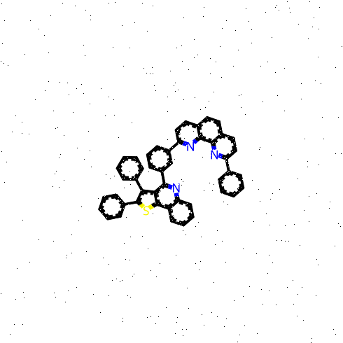 c1ccc(-c2ccc3ccc4ccc(-c5cccc(-c6nc7ccccc7c7sc(-c8ccccc8)c(-c8ccccc8)c67)c5)nc4c3n2)cc1